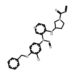 C=CC(=O)N1CCC(Nc2ccncc2N(N=O)c2ccc(OCc3ccccc3)c(Cl)c2)C1